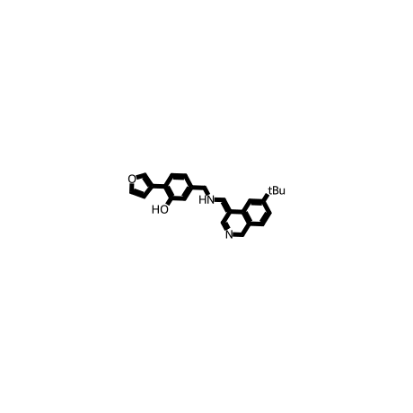 CC(C)(C)c1ccc2c(c1)C(=CNCc1ccc(-c3ccoc3)c(O)c1)C=NC2